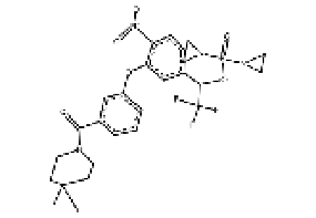 CC1(C)CCN(C(=O)c2cccc(Oc3cc(C(OP(=O)(N4CC4)N4CC4)C(F)(F)F)ccc3[N+](=O)[O-])c2)CC1